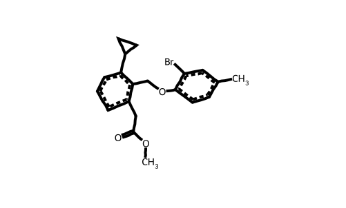 COC(=O)Cc1cccc(C2CC2)c1COc1ccc(C)cc1Br